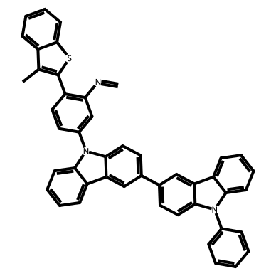 C=Nc1cc(-n2c3ccccc3c3cc(-c4ccc5c(c4)c4ccccc4n5-c4ccccc4)ccc32)ccc1-c1sc2ccccc2c1C